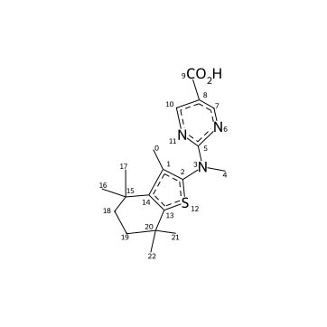 Cc1c(N(C)c2ncc(C(=O)O)cn2)sc2c1C(C)(C)CCC2(C)C